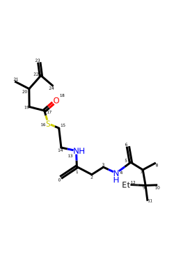 C=C(CCNC(=C)C(C)C(C)(C)CC)NCCSC(=O)CC(C)C(=C)C